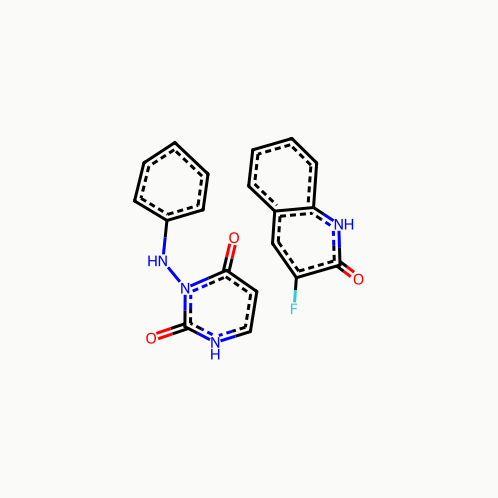 O=c1[nH]c2ccccc2cc1F.O=c1cc[nH]c(=O)n1Nc1ccccc1